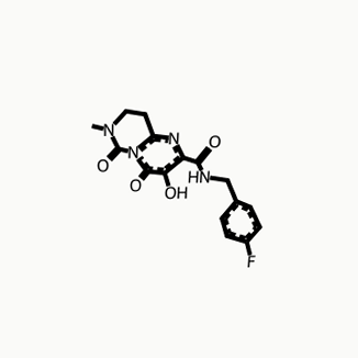 CN1CCc2nc(C(=O)NCc3ccc(F)cc3)c(O)c(=O)n2C1=O